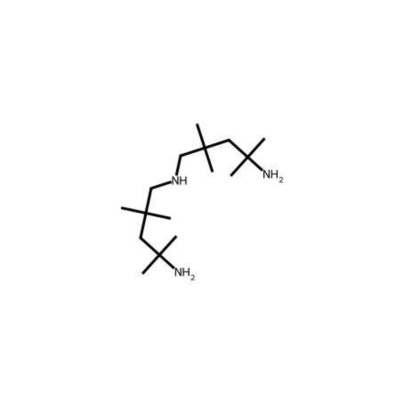 CC(C)(N)CC(C)(C)CNCC(C)(C)CC(C)(C)N